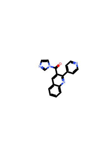 O=C(c1cc2ccccc2nc1-c1ccncc1)n1ccnc1